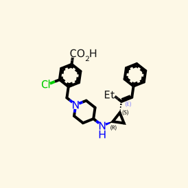 CC/C(=C\c1ccccc1)[C@@H]1C[C@H]1NC1CCN(Cc2ccc(C(=O)O)cc2Cl)CC1